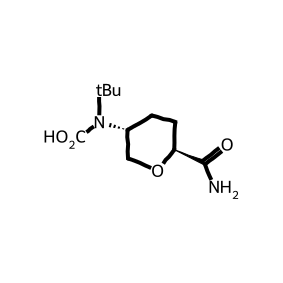 CC(C)(C)N(C(=O)O)[C@@H]1CC[C@@H](C(N)=O)OC1